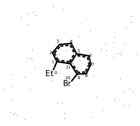 CCc1cccc2cccc(Br)c12